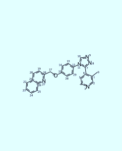 Cc1cnccc1-c1nncn1-c1ccc(OCc2ccc3ccccc3n2)cc1